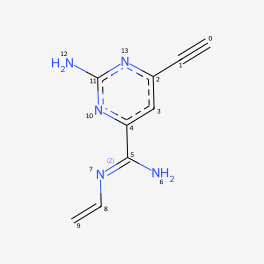 C#Cc1cc(/C(N)=N/C=C)nc(N)n1